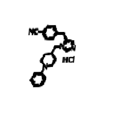 Cl.N#Cc1ccc(Cc2cncn2CC2CCN(c3ccccc3)CC2)cc1